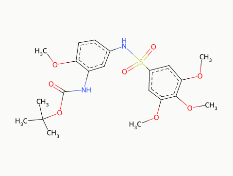 COc1ccc(NS(=O)(=O)c2cc(OC)c(OC)c(OC)c2)cc1NC(=O)OC(C)(C)C